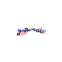 O=C1CC[C@H](c2ccc(N3CCC(F)(CCN4CC5(C4)CN(C(=O)C4(c6ccccc6)CCN(c6cnnc(-c7ccccc7O)c6)CC4)C5)CC3)cc2)C(=O)N1